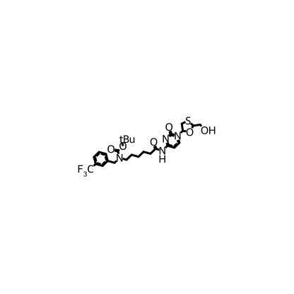 CC(C)(C)OC(=O)N(CCCCCC(=O)Nc1ccn(C2CSC(CO)O2)c(=O)n1)Cc1cccc(C(F)(F)F)c1